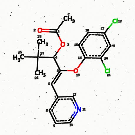 CC(=O)OC(C(=Cc1cccnc1)Oc1ccc(Cl)cc1Cl)C(C)(C)C